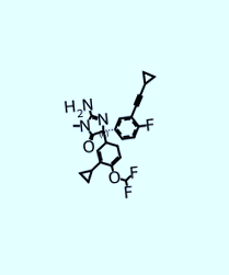 CN1C(=O)[C@](c2ccc(F)c(C#CC3CC3)c2)(C2C=C(C3CC3)C(OC(F)F)=CC2)N=C1N